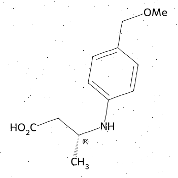 COCc1ccc(N[C@H](C)CC(=O)O)cc1